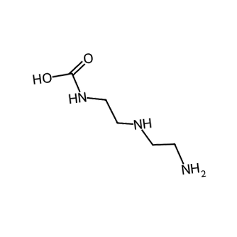 NCCNCCNC(=O)O